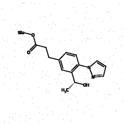 C[C@@H](O)c1cc(CCC(=O)OC(C)(C)C)ccc1-n1cccn1